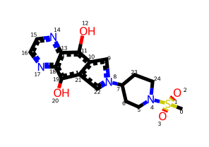 CS(=O)(=O)N1CCC(n2cc3c(O)c4nccnc4c(O)c3c2)CC1